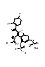 CS(=O)(=O)Oc1cc(OS(C)(=O)=O)c2c(NC(N)=O)c(C(=O)c3ccc(Cl)cc3Cl)oc2c1